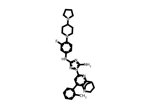 Cc1ccccc1-c1cc(-n2nc(Nc3ccc(N4CCC(N5CCCC5)CC4)c(F)c3)nc2N)nc2c1N1CCC2CC1